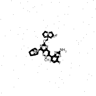 CN1Sc2c(nc(OC[C@@]34CCCN3C[C@H](F)C4)nc2N2CC3CCC(C2)N3)C=C1c1ccc(F)c2sc(N)nc12